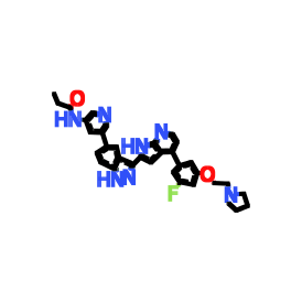 CCC(=O)Nc1cncc(-c2ccc3[nH]nc(-c4cc5c(-c6cc(F)cc(OCCN7CCCC7)c6)ccnc5[nH]4)c3c2)c1